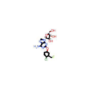 Nc1nc(Oc2ccc(Cl)c(CF)c2)nc2c1ncn2[C@@H]1O[C@H](CO)[C@@H](O)[C@H]1O